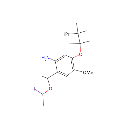 COc1cc(C(C)OC(C)I)c(N)cc1OC(C)(C)C(C)(C)C(C)C